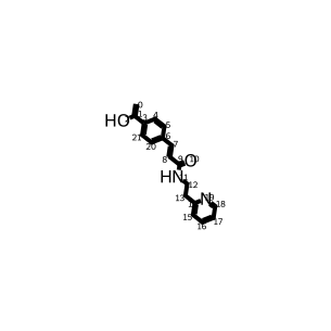 C=C(O)c1ccc(/C=C/C(=O)NCCc2ccccn2)cc1